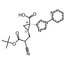 CC(C)(C)OC(=O)C(C#N)C[C@H]1C[C@]1(C(=O)O)c1cn(-c2ccccn2)cn1